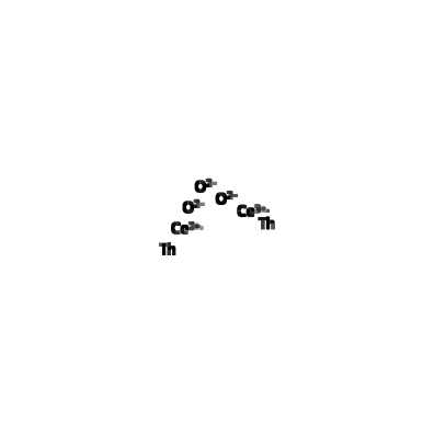 [Ce+3].[Ce+3].[O-2].[O-2].[O-2].[Th].[Th]